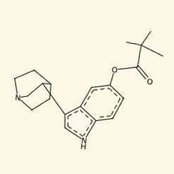 CC(C)(C)C(=O)Oc1ccc2[nH]cc(C3CN4CCC3CC4)c2c1